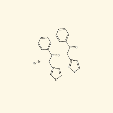 O=C(C[n+]1ccsc1)c1ccccc1.O=C(C[n+]1ccsc1)c1ccccc1.[Br-].[Br-]